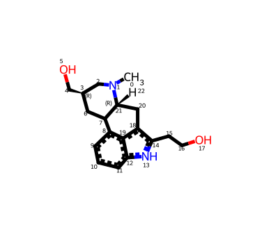 CN1C[C@H](CO)CC2c3cccc4[nH]c(CCO)c(c34)C[C@H]21